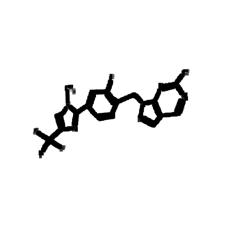 Cn1cc(C(F)(F)F)nc1-c1ccc(Cn2ncc3cnc(Cl)nc32)c(F)c1